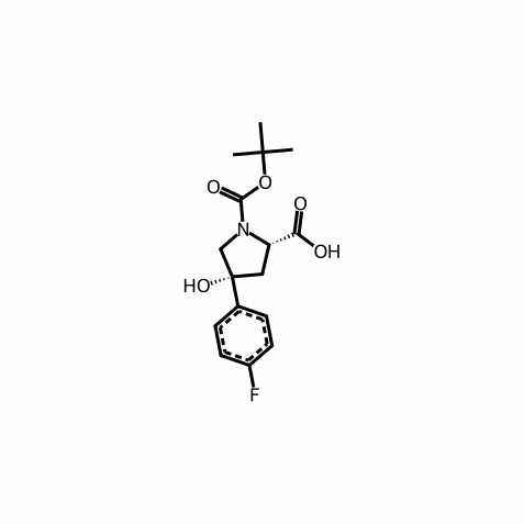 CC(C)(C)OC(=O)N1C[C@](O)(c2ccc(F)cc2)C[C@H]1C(=O)O